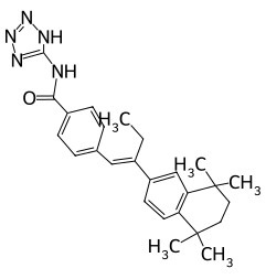 CCC(=Cc1ccc(C(=O)Nc2nnn[nH]2)cc1)c1ccc2c(c1)C(C)(C)CCC2(C)C